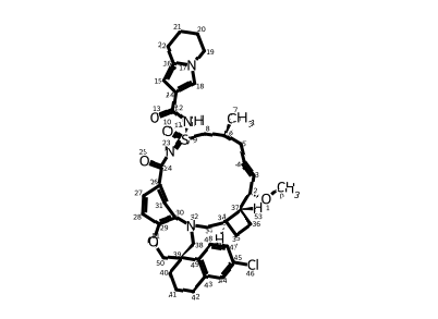 CO[C@H]1/C=C/C[C@H](C)C[S@@](=O)(NC(=O)c2cc3n(c2)CCCC3)=NC(=O)c2ccc3c(c2)N(C[C@@H]2CC[C@H]21)C[C@@]1(CCCc2cc(Cl)ccc21)CO3